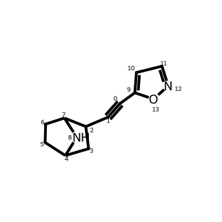 C(#CC1CC2CCC1N2)c1ccno1